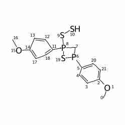 COc1ccc(P2C[P](SS)(c3ccc(OC)cc3)S2)cc1